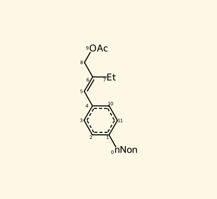 CCCCCCCCCc1ccc(/C=C(\CC)COC(C)=O)cc1